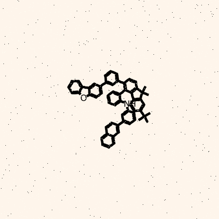 CC(C)(C)c1ccc2c(c1)C(C)(C)c1ccc(-c3cccc(-c4ccc5oc6ccccc6c5c4)c3)c(-c3ccccc3Nc3cccc(-c4ccc5ccccc5c4)c3)c1-2